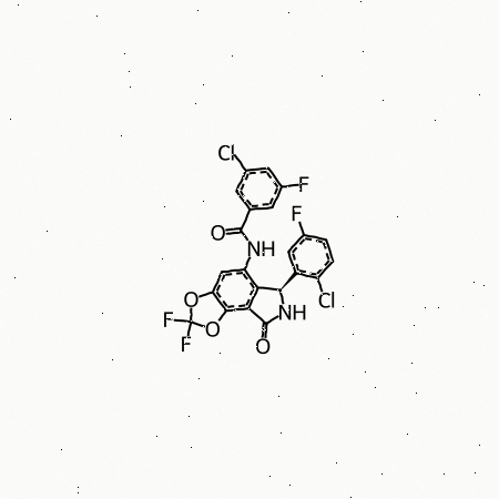 O=C(Nc1cc2c(c3c1[C@@H](c1cc(F)ccc1Cl)NC3=O)OC(F)(F)O2)c1cc(F)cc(Cl)c1